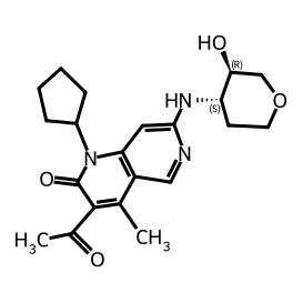 CC(=O)c1c(C)c2cnc(N[C@H]3CCOC[C@@H]3O)cc2n(C2CCCC2)c1=O